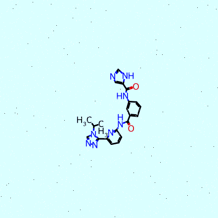 CC(C)n1cnnc1-c1cccc(NC(=O)c2cccc(NC(=O)c3cnc[nH]3)c2)n1